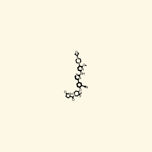 COc1nc(Nc2nccc(-c3ccc(OC4CCN(C(=O)C5CCC(=O)N5)CC4(F)F)c(C#N)c3)n2)ccc1N1CCN(C2COC2)CC1